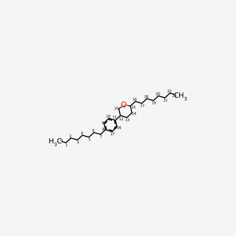 CCCCCCCCc1ccc(C2CCC(CCCCCCCC)OC2)cc1